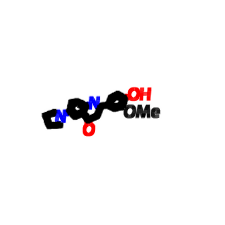 COc1cc(C2=Nc3ccc(N4CCCC4)cc3C(=O)C2)ccc1O